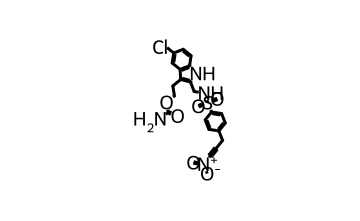 NC(=O)OCCc1c(CNS(=O)(=O)c2ccc(CC#C[N+](=O)[O-])cc2)[nH]c2ccc(Cl)cc12